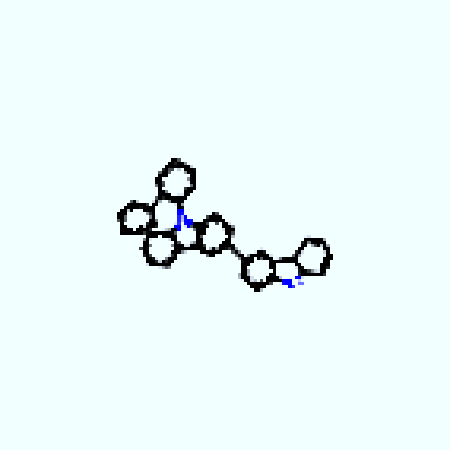 C1=CC2Nc3ccc(-c4ccc5c(c4)c4ccccc4n5-c4ccccc4-c4ccccc4)cc3C2C=C1